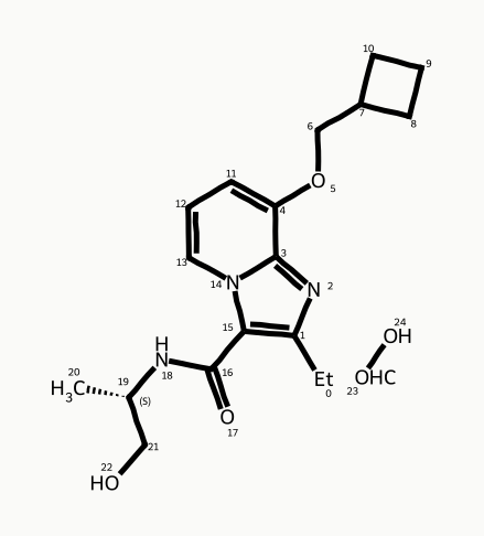 CCc1nc2c(OCC3CCC3)cccn2c1C(=O)N[C@@H](C)CO.O=CO